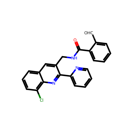 O=Cc1ccccc1C(=O)NCc1cc2cccc(Cl)c2nc1-c1ccccn1